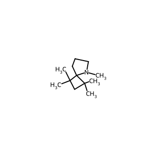 CN1CCCC12C(C)(C)CC2(C)C